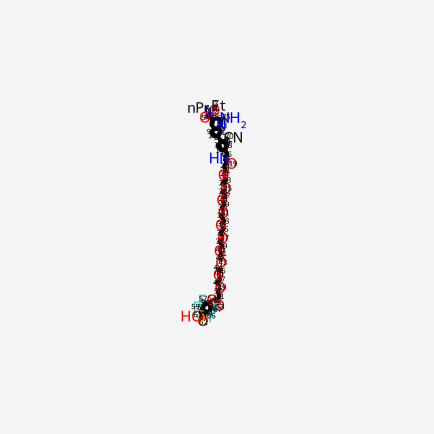 CCCN(OCC)C(=O)C1=Cc2ccc(-c3ccc(CNC(=O)CCOCCOCCOCCOCCOCCOCCOCCOCCOCCOCCC(=O)Oc4c(F)c(F)c(S(=O)O)c(F)c4F)cc3C#N)cc2N=C(N)C1